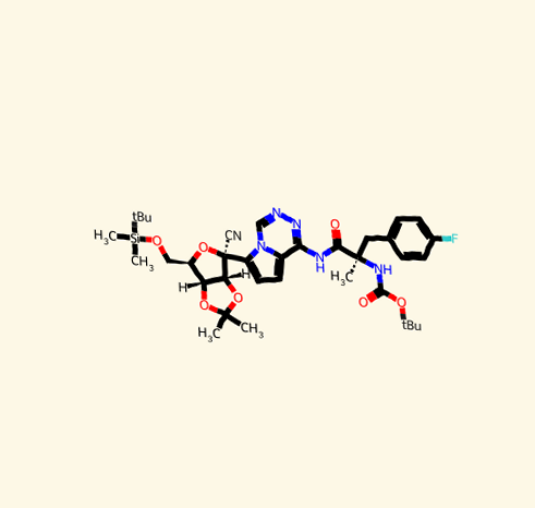 CC(C)(C)OC(=O)N[C@](C)(Cc1ccc(F)cc1)C(=O)Nc1nncn2c([C@]3(C#N)O[C@H](CO[Si](C)(C)C(C)(C)C)[C@H]4OC(C)(C)O[C@H]43)ccc12